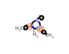 C=C1CN(S(=O)(=O)c2ccc(C)cc2)CCCN(Cc2ccccc2)CCCN(S(=O)(=O)c2ccc(C)cc2)C1